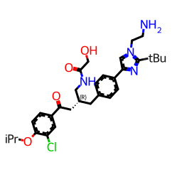 CC(C)Oc1ccc(C(=O)C[C@H](CNC(=O)CO)Cc2ccc(-c3cn(CCN)c(C(C)(C)C)n3)cc2)cc1Cl